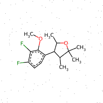 COc1c(C2C(C)OC(C)(C)C2C)ccc(F)c1F